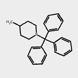 CC1CCN(C(c2ccccc2)(c2ccccc2)c2ccccc2)CC1